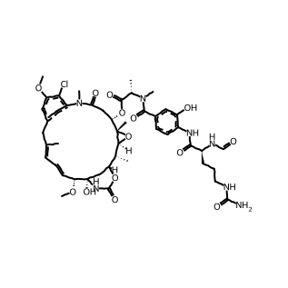 COc1cc2cc(c1Cl)N(C)C(=O)C[C@H](OC(=O)[C@H](C)N(C)C(=O)c1ccc(NC(=O)[C@H](CCCNC(N)=O)NC=O)c(O)c1)[C@]1(C)O[C@H]1[C@H](C)[C@@H]1C[C@@](O)(NC(=O)O1)[C@H](OC)/C=C/C=C(\C)C2